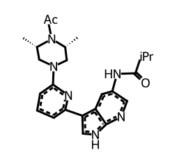 CC(=O)N1[C@H](C)CN(c2cccc(-c3c[nH]c4ncc(NC(=O)C(C)C)cc34)n2)C[C@@H]1C